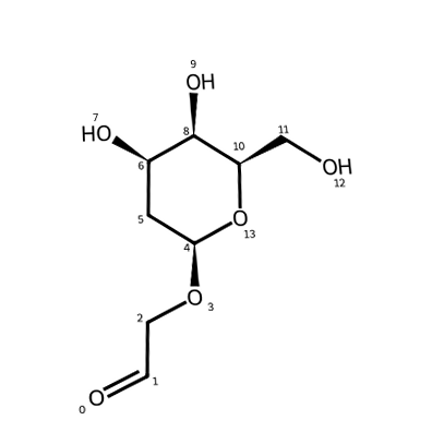 O=CCO[C@H]1C[C@@H](O)[C@@H](O)[C@@H](CO)O1